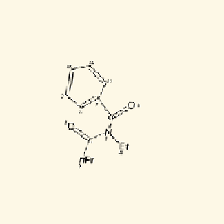 CCCC(=O)N(CC)C(=O)c1ccccc1